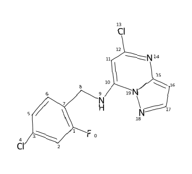 Fc1cc(Cl)ccc1CNc1cc(Cl)nc2ccnn12